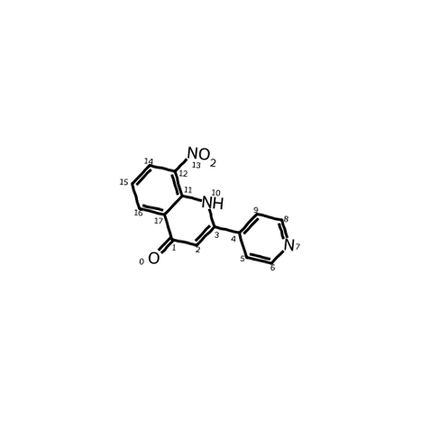 O=c1cc(-c2ccncc2)[nH]c2c([N+](=O)[O-])cccc12